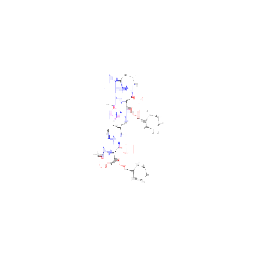 CC(=O)NC(C(=O)N1CCCC(N)C1)C(NCC1CCCN(C(O)C(NC(C)=O)C(C)OCC2CCCCC2)C1)OCC1CCCCC1